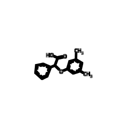 Cc1cc(C)cc(OC(C(=O)O)c2ccccc2)c1